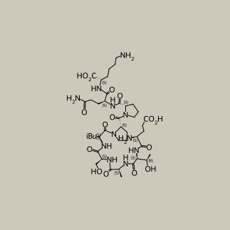 CC[C@H](C)[C@H](NC(=O)[C@H](CO)NC(=O)[C@H](C)NC(=O)[C@@H](NC(=O)[C@@H](N)CCC(=O)O)[C@@H](C)O)C(=O)N1CCC[C@H]1C(=O)N1CCC[C@H]1C(=O)N[C@@H](CCC(N)=O)C(=O)N[C@@H](CCCCN)C(=O)O